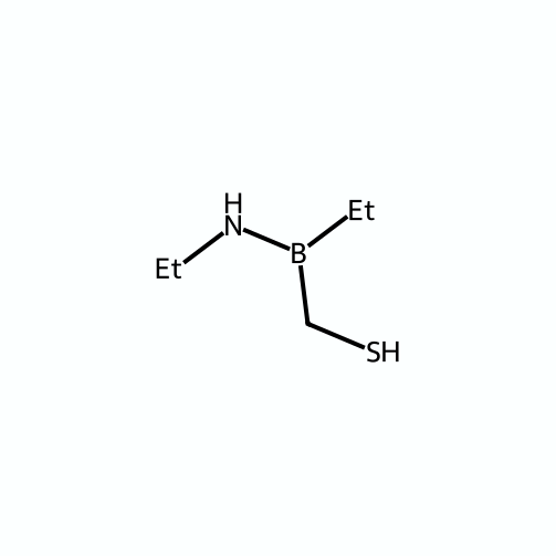 CCNB(CC)CS